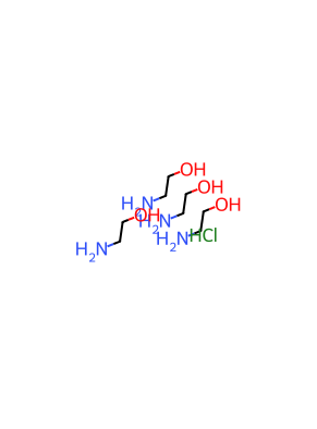 Cl.NCCO.NCCO.NCCO.NCCO